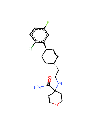 NC(=O)C1(NCC[C@H]2CC[C@H](c3cc(F)ccc3Cl)CC2)CCOCC1